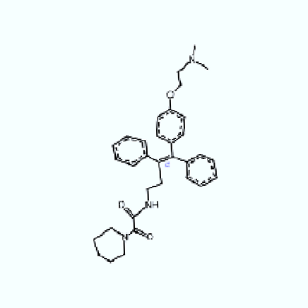 CN(C)CCOc1ccc(/C(=C(/CCNC(=O)C(=O)N2CCCCC2)c2ccccc2)c2ccccc2)cc1